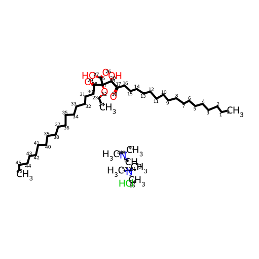 CCCCCCCCCCCCCCCCCC(=O)C(O)C(OCC)(C(=O)O)C(=O)CCCCCCCCCCCCCCCCC.CN(C)C.CN(C)C.Cl